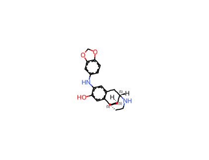 Oc1cc2c(cc1Nc1ccc3c(c1)OCO3)C[C@@H]1NCC[C@]23CCCC[C@H]13